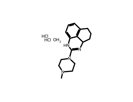 CN1CCN(C2=NC3CCCc4cccc(c43)N2)CC1.Cl.Cl.O